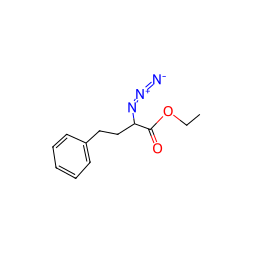 CCOC(=O)C(CCc1ccccc1)N=[N+]=[N-]